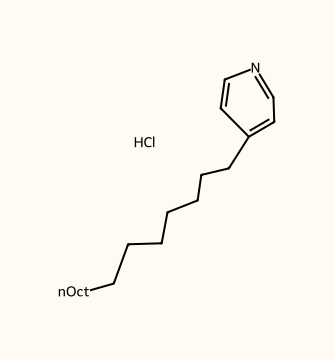 CCCCCCCCCCCCCCCc1ccncc1.Cl